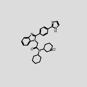 Cl.O=C(Cn1c(-c2ccc(-c3ncc[nH]3)cc2)nc2ccccc21)N(C1CCCCC1)C1CCCCC1